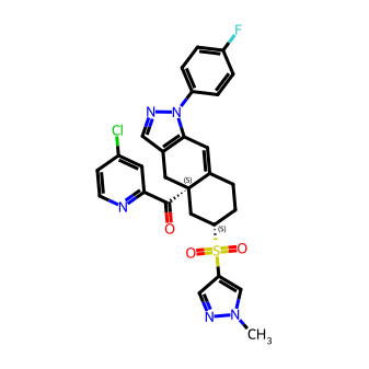 Cn1cc(S(=O)(=O)[C@H]2CCC3=Cc4c(cnn4-c4ccc(F)cc4)C[C@]3(C(=O)c3cc(Cl)ccn3)C2)cn1